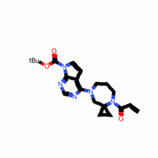 C=CC(=O)N1CCCN(c2ncnc3c2ccn3C(=O)OC(C)(C)C)CC12CC2